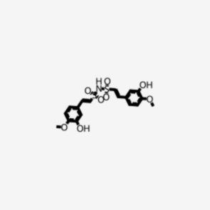 COc1ccc(/C=C/S(=O)(=O)NS(=O)(=O)/C=C/c2ccc(OC)c(O)c2)cc1O